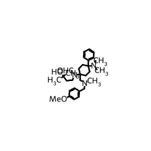 COc1ccc(CN(C)CC2(N(C=O)CCC(C)(C)O)CCC(c3ccccc3)(N(C)C)CC2)cc1